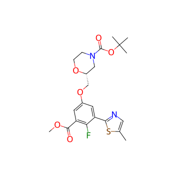 COC(=O)c1cc(OC[C@H]2CN(C(=O)OC(C)(C)C)CCO2)cc(-c2ncc(C)s2)c1F